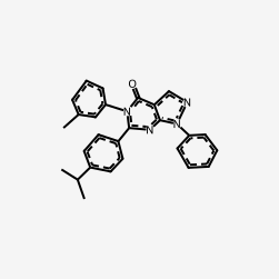 Cc1cccc(-n2c(-c3ccc(C(C)C)cc3)nc3c(cnn3-c3ccccc3)c2=O)c1